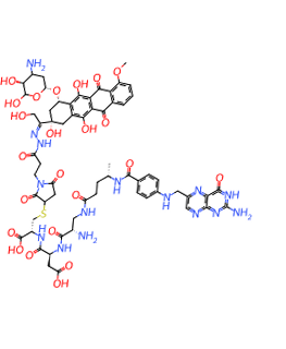 COc1cccc2c1C(=O)c1c(O)c3c(c(O)c1C2=O)C[C@@](O)(/C(CO)=N\NC(=O)CCN1C(=O)CC(SC[C@H](NC(=O)[C@H](CC(=O)O)NC(=O)[C@@H](N)CNC(=O)CC[C@H](C)NC(=O)c2ccc(NCc4cnc5nc(N)[nH]c(=O)c5n4)cc2)C(=O)O)C1=O)C[C@@H]3O[C@H]1CC(N)[C@H](O)C(O)O1